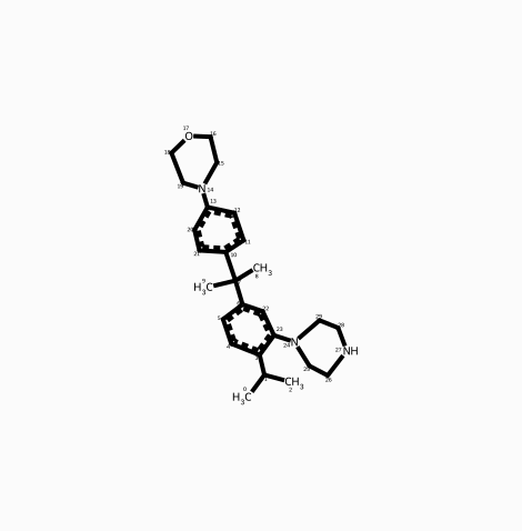 CC(C)c1ccc(C(C)(C)c2ccc(N3CCOCC3)cc2)cc1N1CCNCC1